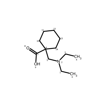 CCN(CC)CC1(C(=O)O)CCCCC1